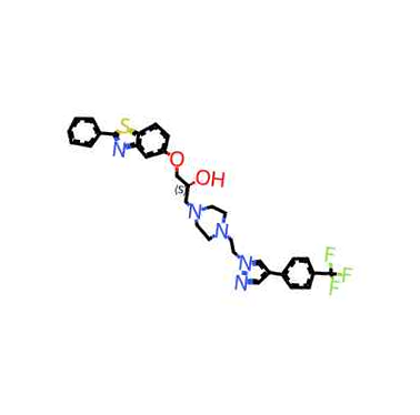 O[C@H](COc1ccc2sc(-c3ccccc3)nc2c1)CN1CCN(CCn2cc(-c3ccc(C(F)(F)F)cc3)cn2)CC1